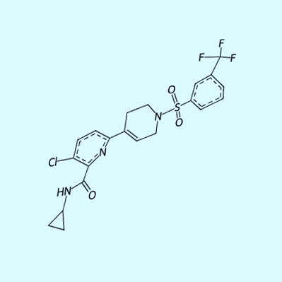 O=C(NC1CC1)c1nc(C2=CCN(S(=O)(=O)c3cccc(C(F)(F)F)c3)CC2)ccc1Cl